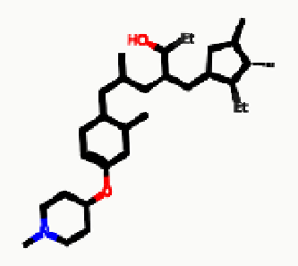 CCC(O)[C@H](CC(C)CC1CC=C(OC2CCN(C)CC2)CC1C)CC1CC(C)[C@H](C)C1CC